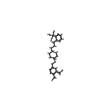 COc1ccc(CCN2CCC(CCOc3ccccc3C(F)(F)F)CC2)cc1OC